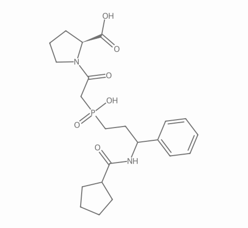 O=C(NC(CCP(=O)(O)CC(=O)N1CCC[C@H]1C(=O)O)c1ccccc1)C1CCCC1